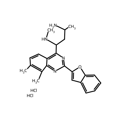 CNC(CC(C)N)c1nc(-c2cc3ccccc3o2)nc2c(C)c(C)ccc12.Cl.Cl